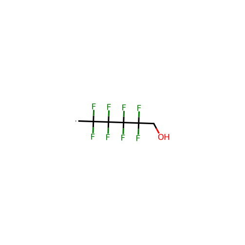 [CH2]C(F)(F)C(F)(F)C(F)(F)C(F)(F)CO